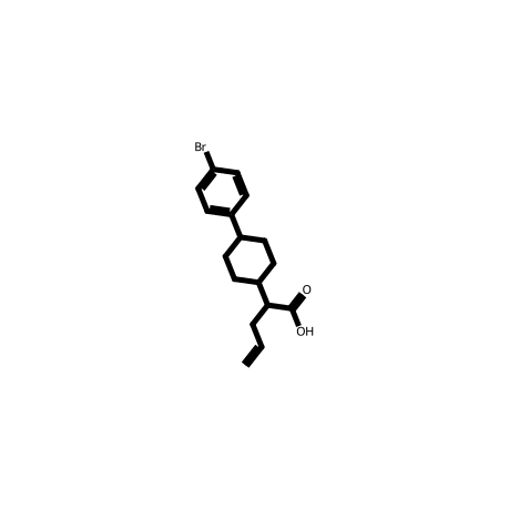 C=CCC(C(=O)O)C1CCC(c2ccc(Br)cc2)CC1